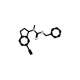 C#Cc1ccc2c(c1)C(N(C)C(=O)OCc1ccccc1)CC2